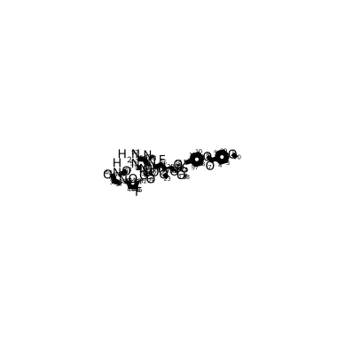 COc1ccc(C(=O)Oc2ccc(CSP(=O)(OC)OC[C@@H](OC)[C@@H](F)[C@@H](OP(=O)(O)OC[C@H]3O[C@@H](n4ccc(=O)[nH]c4=O)C[C@@H]3F)n3cnc4c(N)ncnc43)cc2)cc1